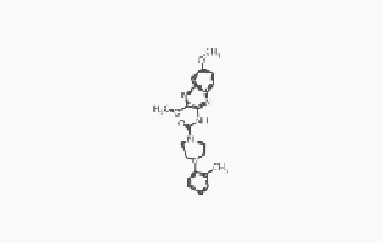 COc1ccc2nc(NC(=O)N3CCN(c4ccccc4C)CC3)c(OC)nc2c1